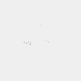 C=CCNCc1ccccc1NCC=C